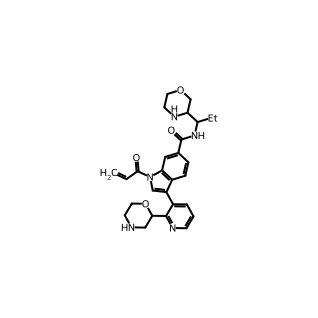 C=CC(=O)n1cc(-c2cccnc2C2CNCCO2)c2ccc(C(=O)NC(CC)C3COCCN3)cc21